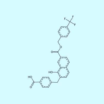 O=C(O)c1ccc(Cc2ccc3ccc(C(=O)OCc4ccc(C(F)(F)F)cc4)cc3c2O)cc1